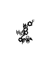 C[C@]12Cc3cnn(-c4ccc(F)cc4)c3C=C1CC[C@@]2(O)CCc1cccc(F)c1CNS(=O)(=O)C1CC1